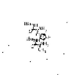 CN(N)C(=O)NC(C)(C)C.CN(N)C(=O)NC(C)(C)C.c1cc[nH]c1